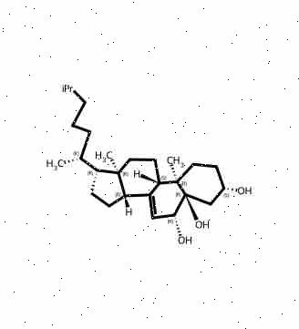 CC(C)CCC[C@@H](C)[C@H]1CC[C@H]2C3=C[C@@H](O)[C@@]4(O)C[C@@H](O)CC[C@]4(C)[C@H]3CC[C@]12C